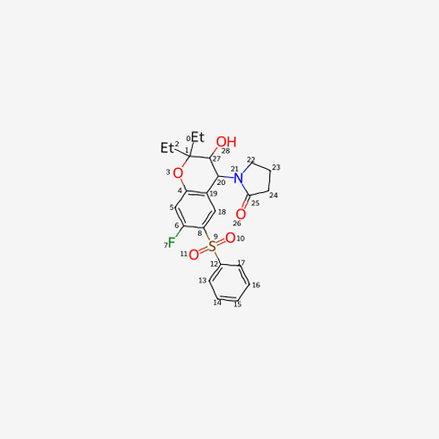 CCC1(CC)Oc2cc(F)c(S(=O)(=O)c3ccccc3)cc2C(N2CCCC2=O)C1O